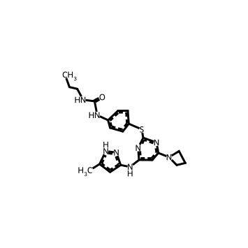 CCCNC(=O)Nc1ccc(Sc2nc(Nc3cc(C)[nH]n3)cc(N3CCC3)n2)cc1